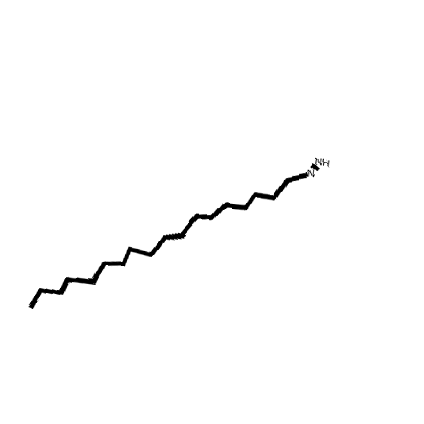 CCCCCCCCCCCCCCCCCCN=N